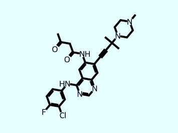 CC(=O)CC(=O)Nc1cc2c(Nc3ccc(F)c(Cl)c3)ncnc2cc1C#CC(C)(C)N1CCN(C)CC1